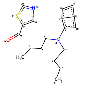 CCCCN(CCCC)c1cc2ccc1-2.O=Cc1cncs1